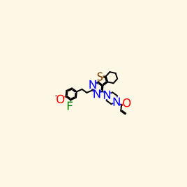 C=CC(=O)N1CCN(c2nc(CCc3ccc(OC)c(F)c3)nc3sc4c(c23)CCCC4)CC1